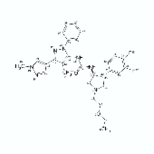 CCOCCN1C[C@@H](NC(=O)Nc2c(C)c(-c3cnn(C)c3)nn2-c2ccccc2)[C@H](c2ccc(F)c(F)c2)C1